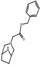 O=C(CN1CC2CCC(C1)N2)OCc1ccccc1